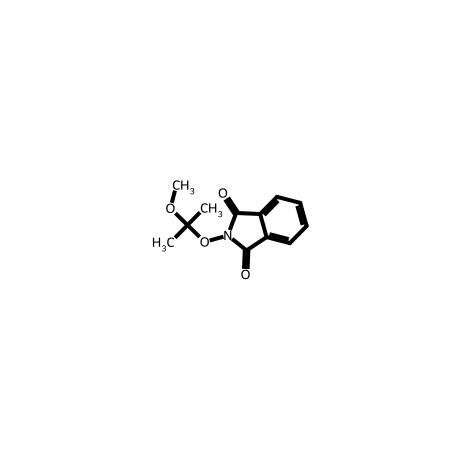 COC(C)(C)ON1C(=O)c2ccccc2C1=O